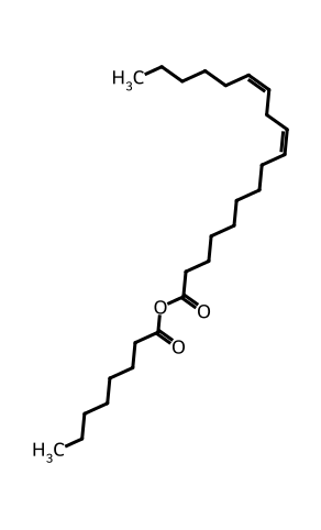 CCCCC/C=C\C/C=C\CCCCCCCC(=O)OC(=O)CCCCCCC